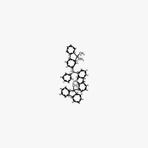 CC1(C)c2ccccc2-c2ccc(N(c3ccccc3)c3cccc4c3oc3c(C5(C)c6ccccc6-c6ccccc65)cccc34)cc21